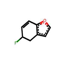 FC1C=Cc2occc2C1